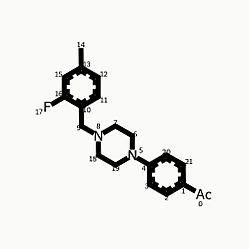 CC(=O)c1ccc(N2CCN(Cc3ccc(C)cc3F)CC2)cc1